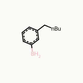 Bc1cccc(CCCCC)c1